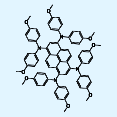 COc1ccc(N(c2ccc(OC)cc2)c2cc(N(c3ccc(OC)cc3)c3ccc(OC)cc3)c3ccc4c(N(c5ccc(OC)cc5)c5ccc(OC)cc5)cc(N(c5ccc(OC)cc5)c5ccc(OC)cc5)c5ccc2c3c54)cc1